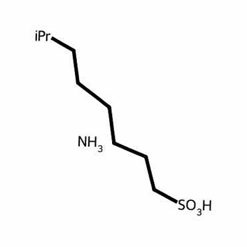 CC(C)CCCCCCS(=O)(=O)O.N